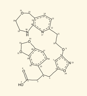 O=C(O)CC(Cc1cc(OCCc2ccc3c(n2)NCCOC3)no1)c1ccc2c(c1)OCO2